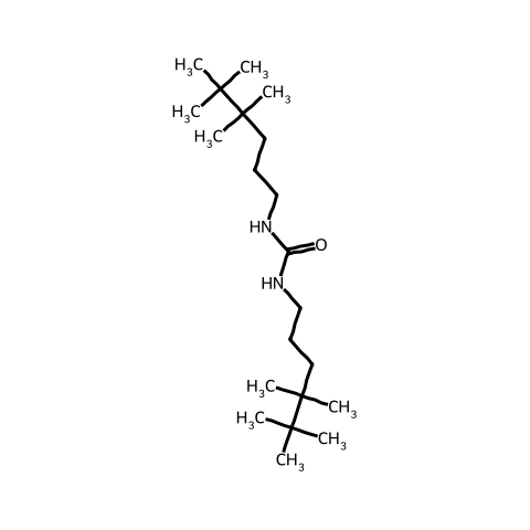 CC(C)(C)C(C)(C)CCCNC(=O)NCCCC(C)(C)C(C)(C)C